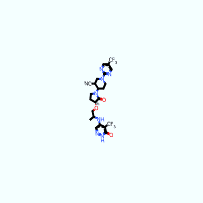 CC(CO[C@@H]1CCN(C2CCN(c3ncc(C(F)(F)F)cn3)CC2C#N)C1=O)Nc1cn[nH]c(=O)c1C(F)(F)F